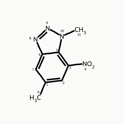 Cc1cc([N+](=O)[O-])c2c(c1)nnn2C